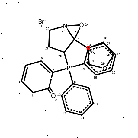 O=C1CC=CC=C1[P+](c1ccccc1)(c1ccccc1)C1CCN2OC12C1CCOC1.[Br-]